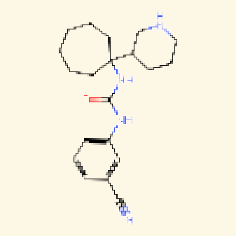 N#Cc1cccc(NC(=O)NC2(C3CCCNC3)CCCCCC2)c1